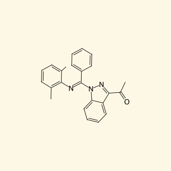 CC(=O)c1nn(C(=Nc2c(C)cccc2C)c2ccccc2)c2ccccc12